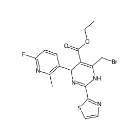 CCOC(=O)C1=C(CBr)NC(c2nccs2)=NC1c1ccc(F)nc1C